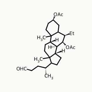 CC[C@@H]1C2C[C@H](OC(C)=O)CCC2(C)[C@H]2CCC3(C)C([C@H](C)CCC=O)CC[C@H]3[C@@H]2[C@@H]1OC(C)=O